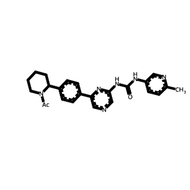 CC(=O)N1CCCCC1c1ccc(-c2cncc(NC(=O)Nc3ccc(C)nc3)n2)cc1